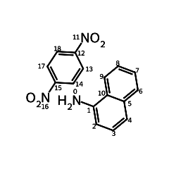 Nc1cccc2ccccc12.O=[N+]([O-])c1ccc([N+](=O)[O-])cc1